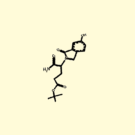 CC(C)(C)OC(=O)CCC(C(N)=O)N1Cc2ccc(O)cc2C1=O